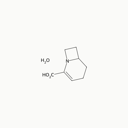 O.O=C(O)C1=CCCC2CCN12